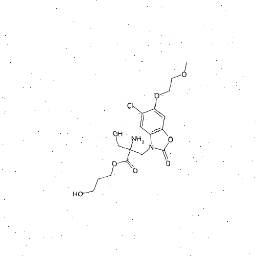 COCCOc1cc2oc(=O)n(CC(N)(CO)C(=O)OCCCO)c2cc1Cl